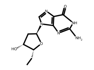 CC[C@H]1O[C@H](n2cnc3c(=O)[nH]c(N)nc32)C[C@H]1O